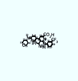 CC(C)C(=N)c1c(-c2ccc(N(C)C3CCOCC3)nc2)cc(C(=O)O)nc1Nc1cccc(C(F)(F)F)c1